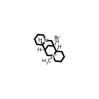 C[N+]12CCCC[C@@H]1[C@H]1C[C@@H](C2)[C@@H]2CCCCN2C1.[Br-]